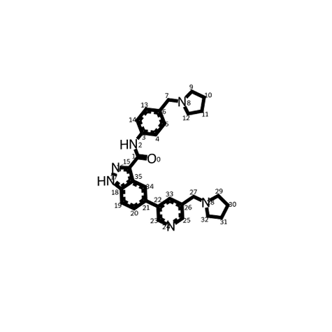 O=C(Nc1ccc(CN2CCCC2)cc1)c1n[nH]c2ccc(-c3cncc(CN4CCCC4)c3)cc12